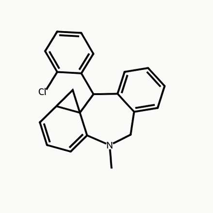 CN1Cc2ccccc2C(c2ccccc2Cl)C23CC2C=CC=C13